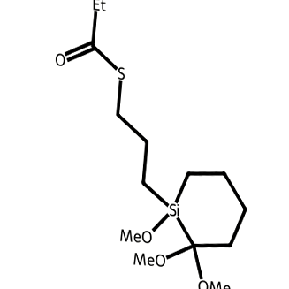 CCC(=O)SCCC[Si]1(OC)CCCCC1(OC)OC